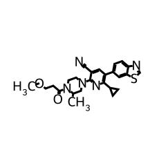 COCCC(=O)N1CCN(c2nc(C3CC3)c(-c3ccc4ncsc4c3)cc2C#N)CC1C